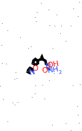 NC(=O)N(O)CCC1CC1c1cccc(Oc2ccccn2)c1